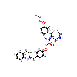 CCCOc1ccc(CN(C(=O)COc2ccc(CN(C)CCc3ccccc3)cc2)[C@H]2CCCCNC2=O)cc1C